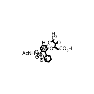 C=C(C)C(=O)C(=CC(=O)O)OC.CC(=O)NO[As](=O)(OO)c1ccccc1-c1ccccc1